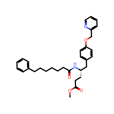 COC(=O)CC[C@@H](Cc1ccc(OCc2ccccn2)cc1)NC(=O)CCCCCCc1ccccc1